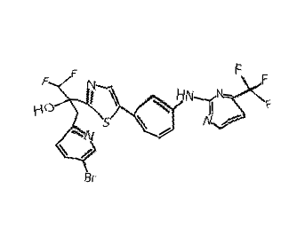 OC(c1ccc(Br)cn1)(c1ncc(-c2cccc(Nc3nccc(C(F)(F)F)n3)c2)s1)C(F)F